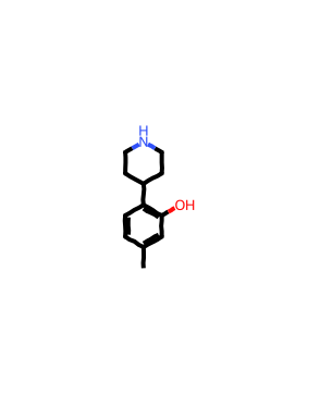 Cc1ccc(C2CCNCC2)c(O)c1